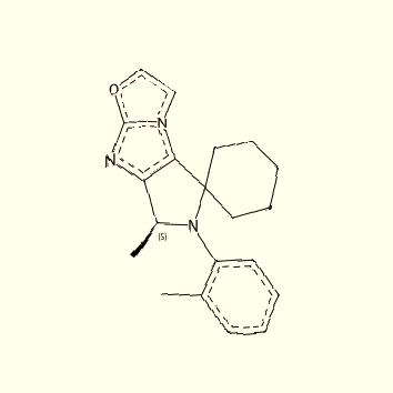 Cc1ccccc1N1[C@@H](C)c2nc3occn3c2C12CCCCC2